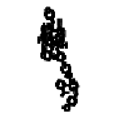 COc1ccc(CN2CCN(C3CC4(CCN(c5ccc(CNS(=O)(=O)c6cc([N+](=O)[O-])c(NCC7CCOCC7)c7[nH]cnc67)c(N6CCOc7nc8[nH]ccc8cc76)c5)CC4)C3)C(c3ccccc3C(C)C)C2)cc1